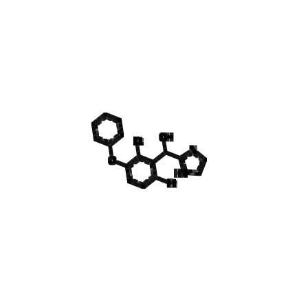 CCc1ccc(Oc2ccccc2)c(CC)c1C(O)c1ncc[nH]1